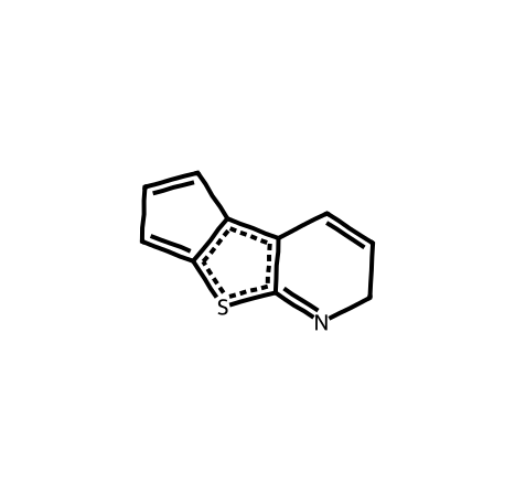 C1=Cc2c3c(sc2=C1)=NCC=C3